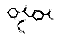 COC(=O)[C@@H]1CCCC[C@H]1C(=O)Cc1ccc(C(=O)O)cc1